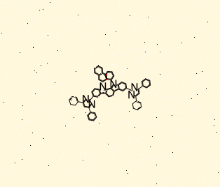 C1=CCCC(c2cc(-c3ccccc3)nc(-c3ccc4c(c3)c3ccc5c6cc(-c7nc(C8=CC=CCC8)cc(-c8ccccc8)n7)ccc6n(-c6ccc7ccccc7c6)c5c3n4-c3ccccc3)n2)=C1